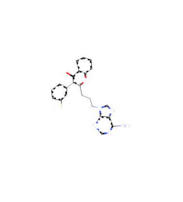 Nc1ncnc2c1ncn2CCCc1oc2ccccc2c(=O)c1-c1cccc(F)c1